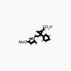 COc1cc(C)n(CCC2(c3ccccc3)CC2CC(=O)O)n1